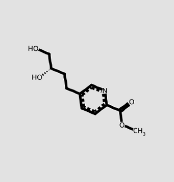 COC(=O)c1ccc(CC[C@H](O)CO)cn1